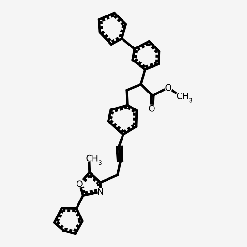 COC(=O)C(Cc1ccc(C#CCc2nc(-c3ccccc3)oc2C)cc1)c1cccc(-c2ccccc2)c1